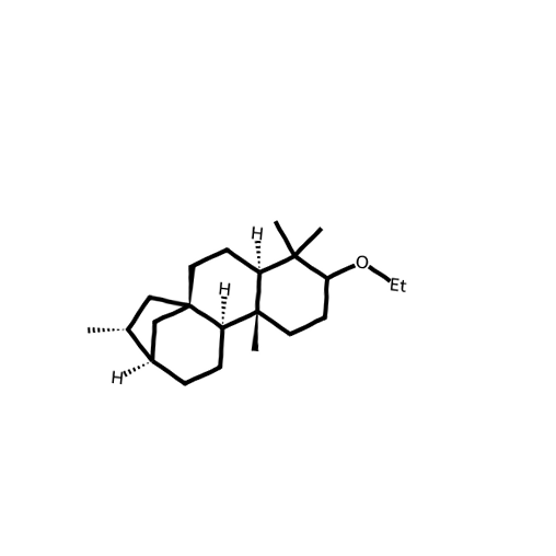 CCOC1CC[C@@]2(C)[C@@H](CC[C@]34C[C@@H](CC[C@@H]32)[C@H](C)C4)C1(C)C